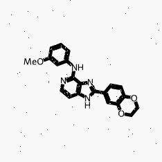 COc1cccc(Nc2nccc3[nH]c(-c4ccc5c(c4)OCCO5)nc23)c1